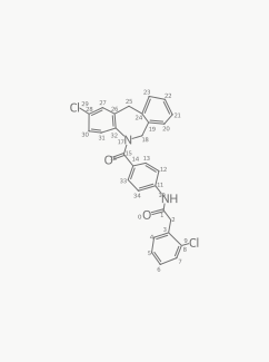 O=C(Cc1ccccc1Cl)Nc1ccc(C(=O)N2Cc3ccccc3Cc3cc(Cl)ccc32)cc1